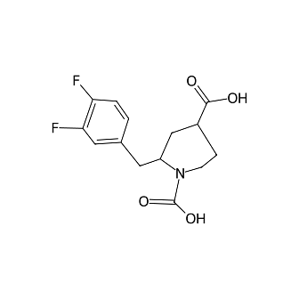 O=C(O)C1CCN(C(=O)O)C(Cc2ccc(F)c(F)c2)C1